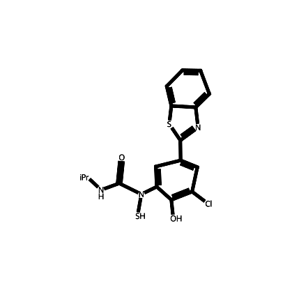 CC(C)NC(=O)N(S)c1cc(-c2nc3ccccc3s2)cc(Cl)c1O